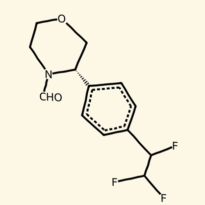 O=CN1CCOC[C@@H]1c1ccc(C(F)C(F)F)cc1